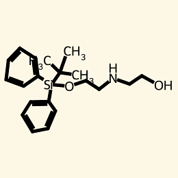 CC(C)(C)[Si](OCCNCCO)(c1ccccc1)c1ccccc1